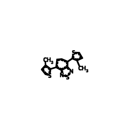 Cc1ccsc1-c1ccc(-c2sccc2C)c2nsnc12